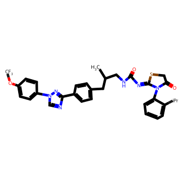 CC(CNC(=O)/N=C1\SCC(=O)N1c1ccccc1C(C)C)Cc1ccc(-c2ncn(-c3ccc(OC(F)(F)F)cc3)n2)cc1